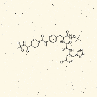 CC(C)(C)ONC(=O)[C@H](Cc1ccc(NC(=O)N2CCC(C(=O)NS(C)(=O)=O)CC2)cc1)NC(=O)C(=O)Nc1cc(Cl)ccc1-n1cnnn1